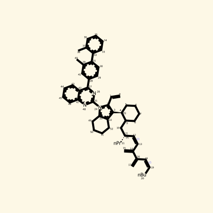 C=Cc1c([C@H]2CCCCC2C[C@H](/C=C\C(=C)C(=C)/C=C\CCCC)CCC)c2c(n1-c1nc(-c3ccc(-c4ccccc4C)c(C)c3)c3ccccc3n1)CCCC2